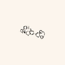 CC1CCCN1C1CCc2cc(-c3ccc4c(c3)OCCCO4)ccc2C1